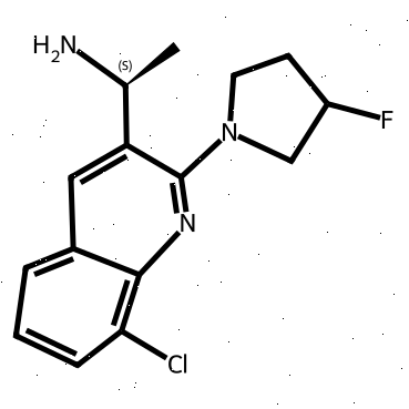 C[C@H](N)c1cc2cccc(Cl)c2nc1N1CCC(F)C1